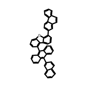 c1ccc2cc(-c3c4ccccc4c(-c4cccc5oc6c(-c7ccc8c(ccc9ccccc98)c7)cccc6c45)c4ccccc34)ccc2c1